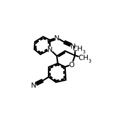 CC1(C)C=C(n2cccc/c2=N/C#N)c2cc(C#N)ccc2O1